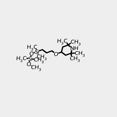 CO[Si](C)(C)O[Si](C)(C)CCCOC1CC(C)(C)NC(C)(C)C1